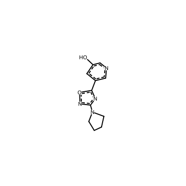 Oc1cncc(-c2nc(N3CCCC3)no2)c1